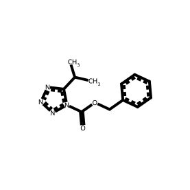 CC(C)c1nnnn1C(=O)OCc1ccccc1